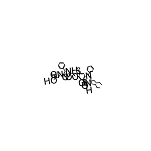 CCCCC1(CCCC)CN(c2ccccc2)c2cc(SC)c(OCC(=O)NC(C(=O)NCC(=O)O)c3ccccc3)cc2S(=O)(=O)N1